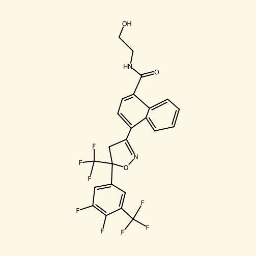 O=C(NCCO)c1ccc(C2=NOC(c3cc(F)c(F)c(C(F)(F)F)c3)(C(F)(F)F)C2)c2ccccc12